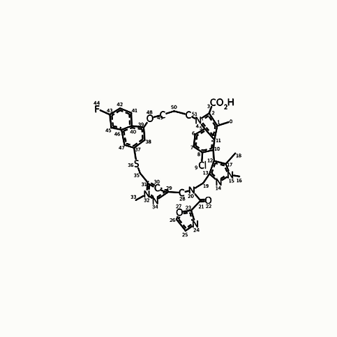 Cc1c(C(=O)O)n2c3ccc(Cl)c(c13)-c1c(nn(C)c1C)CN(C(=O)c1ncco1)Cc1cc(n(C)n1)CSc1cc(c3ccc(F)cc3c1)OCCC2